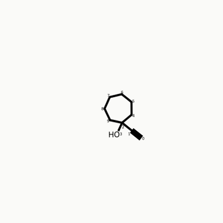 C#CC1(O)CCCCCC1